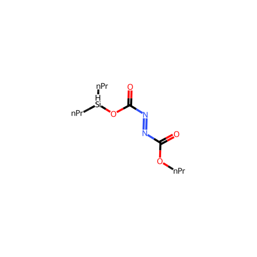 CCCOC(=O)N=NC(=O)O[SiH](CCC)CCC